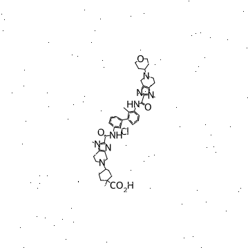 Cc1c(NC(=O)c2nc3c(n2C)CCN(C2CCOCC2)C3)cccc1-c1cccc(NC(=O)c2nc3c(n2C)CCN(C2CCC(C)(C(=O)O)CC2)C3)c1Cl